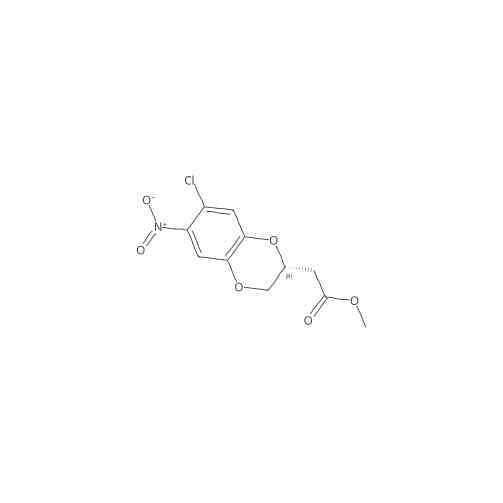 COC(=O)C[C@@H]1COc2cc([N+](=O)[O-])c(Cl)cc2O1